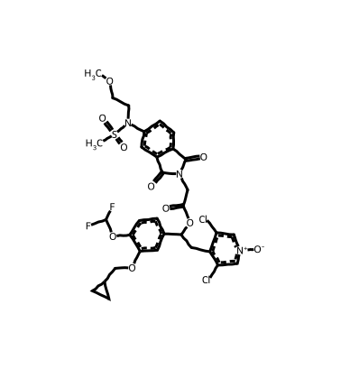 COCCN(c1ccc2c(c1)C(=O)N(CC(=O)OC(Cc1c(Cl)c[n+]([O-])cc1Cl)c1ccc(OC(F)F)c(OCC3CC3)c1)C2=O)S(C)(=O)=O